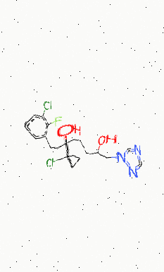 OC(CCC(O)(Cc1cccc(Cl)c1F)C1(Cl)CC1)Cn1cncn1